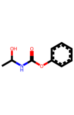 CC(O)NC(=O)Oc1ccccc1